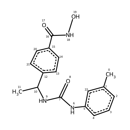 Cc1cccc(NC(=O)NC(C)c2ccc(C(=O)NO)cc2)c1